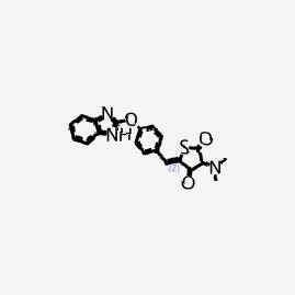 CN(C)C1C(=O)S/C(=C\c2ccc(Oc3nc4ccccc4[nH]3)cc2)C1=O